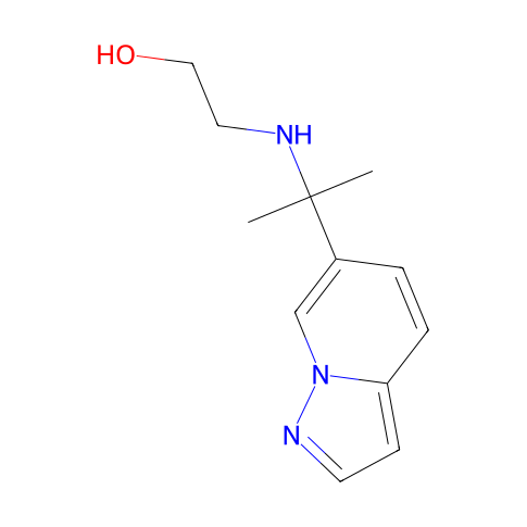 CC(C)(NCCO)c1ccc2ccnn2c1